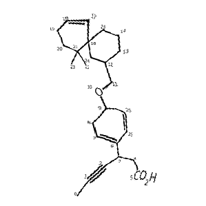 CC#CC(CC(=O)O)C1=CCC(OCC2CCCC3(C=CCCC3(C)C)C2)C=C1